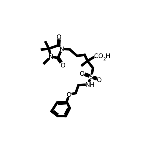 CN1C(=O)N(CCCC(C)(CS(=O)(=O)NCCOc2ccccc2)C(=O)O)C(=O)C1(C)C